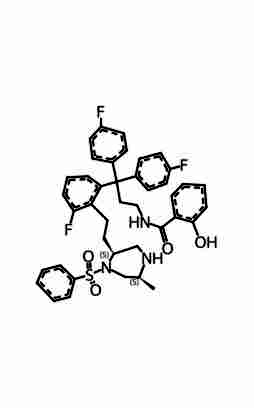 C[C@H]1CN(S(=O)(=O)c2ccccc2)[C@@H](CCc2c(F)cccc2C(CCNC(=O)c2ccccc2O)(c2ccc(F)cc2)c2ccc(F)cc2)CN1